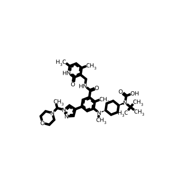 Cc1cc(C)c(CNC(=O)c2cc(-c3cnn(C(C)N4CCOCC4)c3)cc(N(C)[C@H]3CC[C@H](N(C(=O)O)C(C)(C)C)CC3)c2C)c(=O)[nH]1